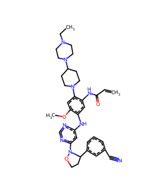 C=CC(=O)Nc1cc(Nc2cc(N3OCCC3c3cccc(C#N)c3)ncn2)c(OC)cc1N1CCC(N2CCN(CC)CC2)CC1